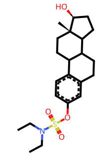 CCN(CC)S(=O)(=O)Oc1ccc2c(c1)CCC1C2CC[C@@]2(C)C1CC[C@@H]2O